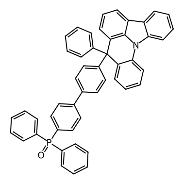 O=P(c1ccccc1)(c1ccccc1)c1ccc(-c2ccc(C3(c4ccccc4)c4ccccc4-n4c5ccccc5c5cccc3c54)cc2)cc1